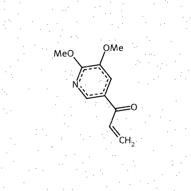 C=CC(=O)c1cnc(OC)c(OC)c1